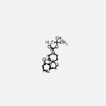 Cc1ccnc2c1C1(CCN(C(=O)OC(C)(C)C)CC1)OC2